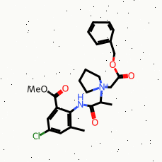 COC(=O)c1cc(Cl)cc(C)c1NC(=O)C(C)[N+]1(CC(=O)OCc2ccccc2)CCCC1